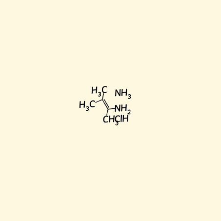 CC(C)=C(C)N.Cl.N